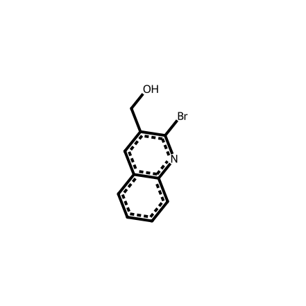 OCc1cc2ccccc2nc1Br